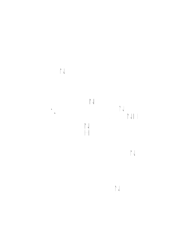 c1ccc(-c2cncc3[nH]c(-c4n[nH]c5cnc(-c6cccnc6)cc45)nc23)nc1